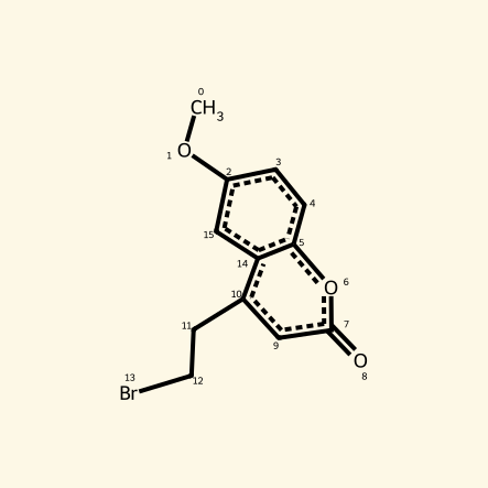 COc1ccc2oc(=O)cc(CCBr)c2c1